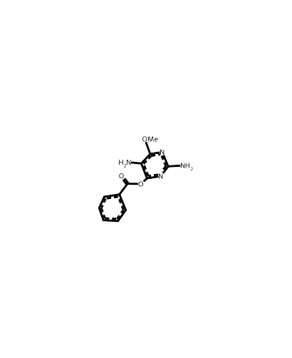 COc1nc(N)nc(OC(=O)c2ccccc2)c1N